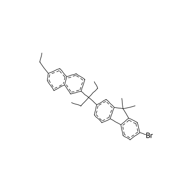 CCc1ccc2cc(C(CC)(CC)c3ccc4c(c3)C(C)(C)c3cc(Br)ccc3-4)ccc2c1